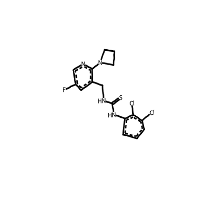 Fc1cnc(N2CCC2)c(CNC(=S)Nc2cccc(Cl)c2Cl)c1